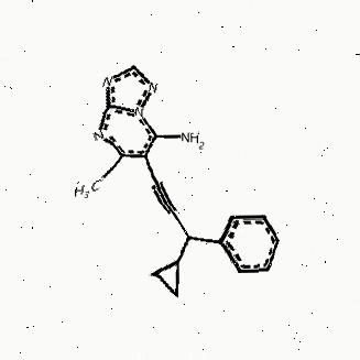 Cc1nc2ncnn2c(N)c1C#CC(c1ccccc1)C1CC1